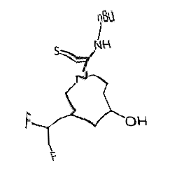 CCCCNC(=S)N1CC(O)CC(C(F)F)C1